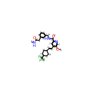 CNC(=O)Cc1cccc(CNC(=O)c2cc(C=CC3CCC(C(F)(F)F)CC3)c(OC)cn2)c1